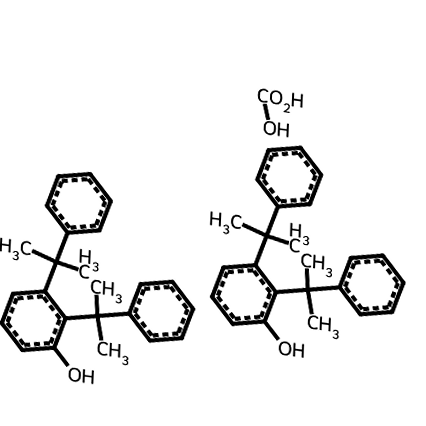 CC(C)(c1ccccc1)c1cccc(O)c1C(C)(C)c1ccccc1.CC(C)(c1ccccc1)c1cccc(O)c1C(C)(C)c1ccccc1.O=C(O)O